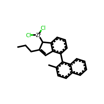 CCCC1=Cc2c(-c3c(C)ccc4ccccc34)cccc2[CH]1[Zr]([Cl])[Cl]